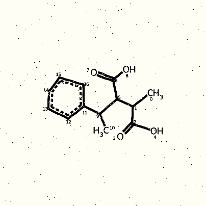 CC(C(=O)O)C(C(=O)O)C(C)c1ccccc1